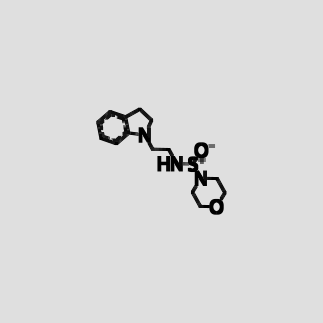 [O-][S+](NCCN1CCc2ccccc21)N1CCOCC1